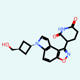 O=C1CCC(c2noc3ccc4c(ccn4[C@H]4C[C@H](CO)C4)c23)C(=O)N1